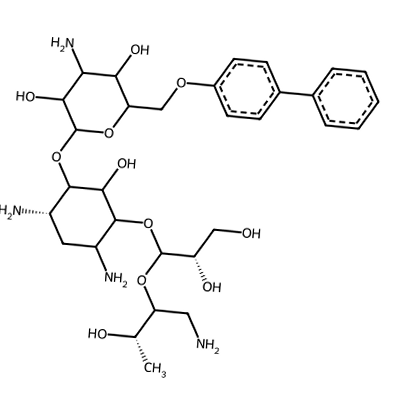 C[C@H](O)C(CN)OC(OC1C(N)C[C@H](N)C(OC2OC(COc3ccc(-c4ccccc4)cc3)C(O)C(N)C2O)C1O)[C@@H](O)CO